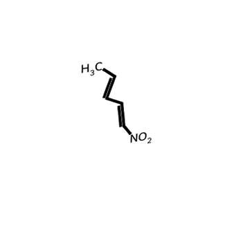 CC=CC=C[N+](=O)[O-]